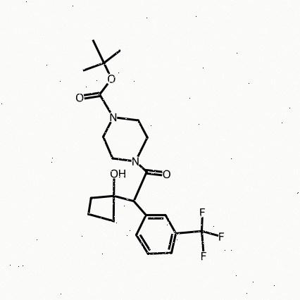 CC(C)(C)OC(=O)N1CCN(C(=O)C(c2cccc(C(F)(F)F)c2)C2(O)CCC2)CC1